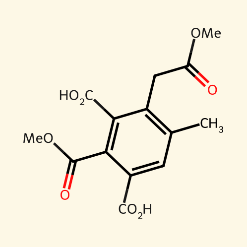 COC(=O)Cc1c(C)cc(C(=O)O)c(C(=O)OC)c1C(=O)O